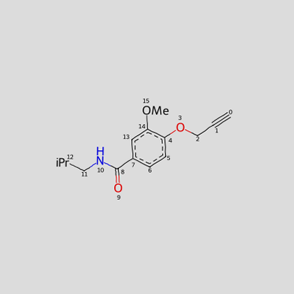 C#CCOc1ccc(C(=O)NCC(C)C)cc1OC